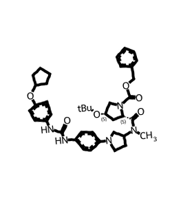 CN(C(=O)[C@@H]1C[C@H](OC(C)(C)C)CN1C(=O)OCc1ccccc1)C1CCN(c2ccc(NC(=O)Nc3ccc(OC4CCCC4)cc3)cc2)C1